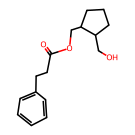 O=C(CCc1ccccc1)OCC1CCCC1CO